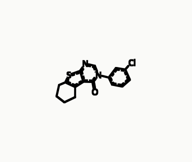 O=c1c2c3c(sc2ncn1-c1cccc(Cl)c1)CCCC3